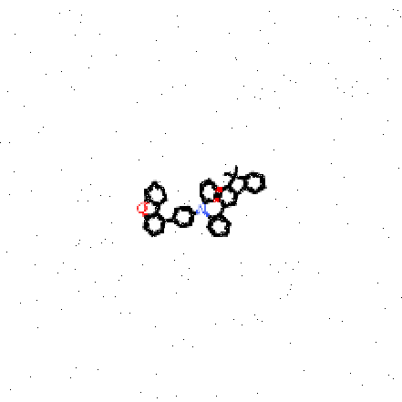 CC1(C)c2ccccc2-c2cc(-c3ccccc3N(c3ccccc3)c3ccc(-c4cccc5oc6ccccc6c45)cc3)ccc21